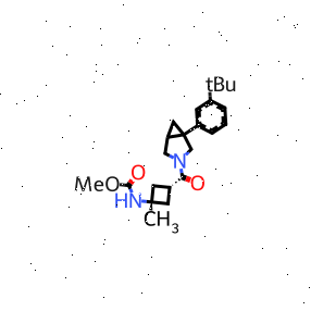 COC(=O)N[C@]1(C)C[C@H](C(=O)N2CC3CC3(c3cccc(C(C)(C)C)c3)C2)C1